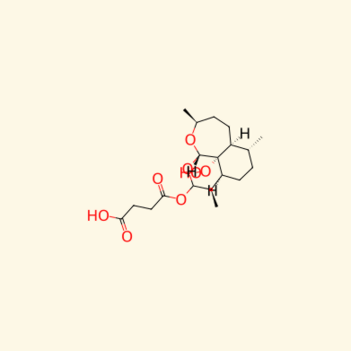 C[C@@H]1CC[C@H]2[C@@H](C)C(OC(=O)CCC(=O)O)O[C@@H]3O[C@@H](C)CC[C@@H]1[C@]32OO